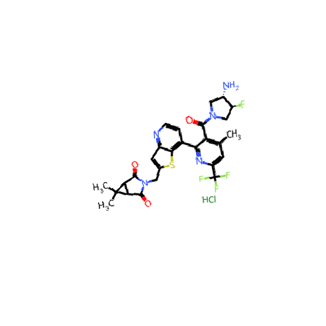 Cc1cc(C(F)(F)F)nc(-c2ccnc3cc(CN4C(=O)C5C(C4=O)C5(C)C)sc23)c1C(=O)N1C[C@H](N)[C@@H](F)C1.Cl